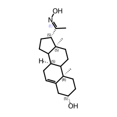 C/C(=N\O)[C@H]1CCC2[C@@H]3CC=C4C[C@@H](O)CC[C@]4(C)C3CC[C@@]21C